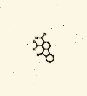 CCN(CC)c1ccc2c(c1N(CC)CC)C(=O)c1ccccc1-2